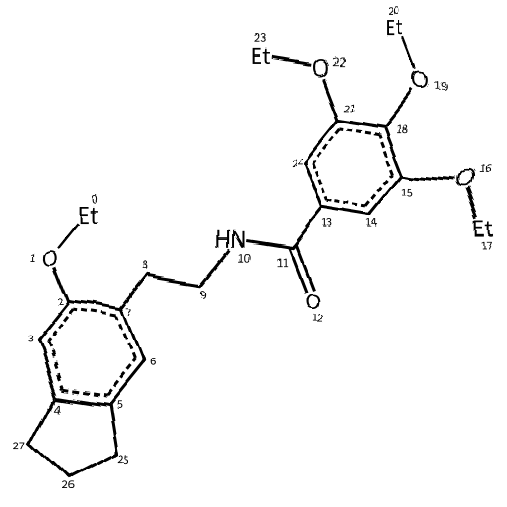 CCOc1cc2c(cc1CCNC(=O)c1cc(OCC)c(OCC)c(OCC)c1)CCC2